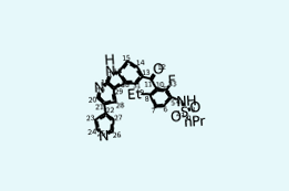 CCCS(=O)(=O)Nc1ccc(CC)c(C(=O)c2ccc3[nH]c4ncc(-c5ccncc5)cc4c3c2)c1F